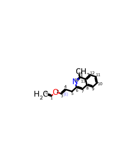 C=CO/C=C/Cc1cc2ccccc2c(C)n1